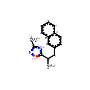 CCOC(=O)c1noc(C(Cc2ccc3ccccc3c2)NC)n1